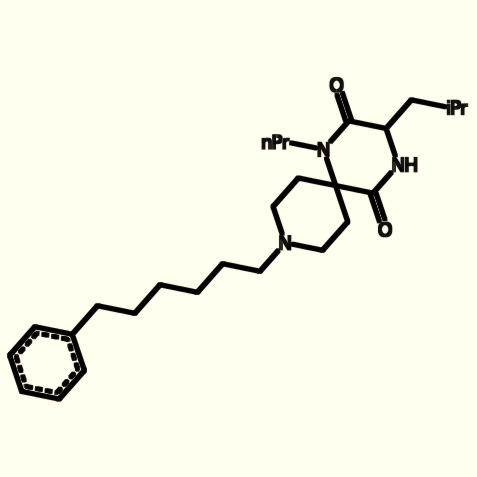 CCCN1C(=O)C(CC(C)C)NC(=O)C12CCN(CCCCCCc1ccccc1)CC2